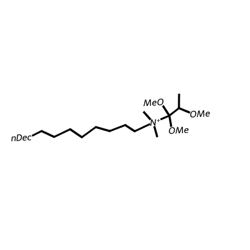 CCCCCCCCCCCCCCCCCC[N+](C)(C)C(OC)(OC)C(C)OC